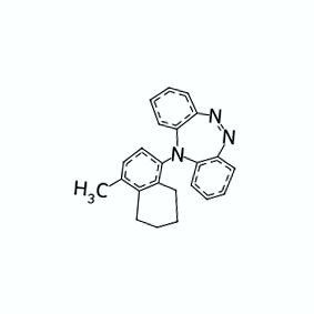 Cc1ccc(N2c3ccccc3N=Nc3ccccc32)c2c1CCCC2